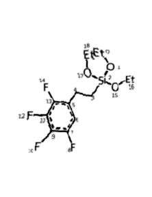 CCO[Si](CCc1cc(F)c(F)c(F)c1F)(OCC)OCC